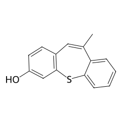 CC1=Cc2ccc(O)cc2Sc2ccccc21